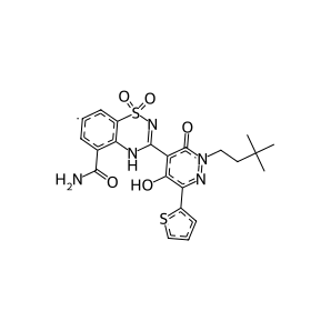 CC(C)(C)CCn1nc(-c2cccs2)c(O)c(C2=NS(=O)(=O)c3c[c]cc(C(N)=O)c3N2)c1=O